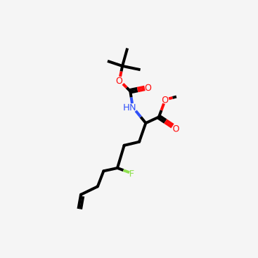 C=CCCC(F)CCC(NC(=O)OC(C)(C)C)C(=O)OC